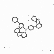 c1ccc(-c2ccc(N(c3ccc(-c4cccc5sc6ccccc6c45)cc3)c3cccc4oc5ccccc5c34)cc2)cc1